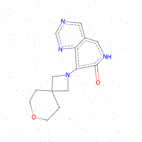 O=c1[nH]cc2cncnc2c1N1CC2(CCOCC2)C1